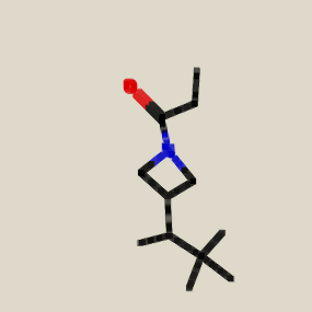 CCC(=O)N1CC(C(C)C(C)(C)C)C1